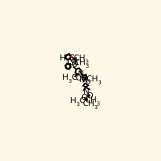 Cc1cc(N2CCC(CO[Si](c3ccccc3)(c3ccccc3)C(C)(C)C)CC2(C)C)nn1C1CC2(C1)CN(C(=O)OC(C)(C)C)C2